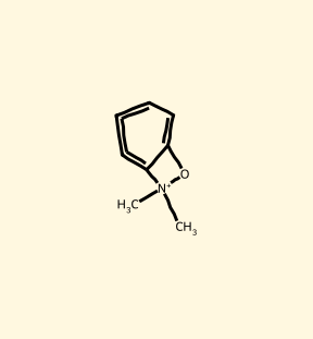 C[N+]1(C)OC2=CC=C=C=C21